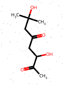 CC(=O)C(O)CC(=O)CC(C)(C)O